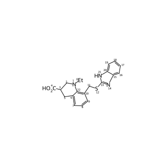 CCN1CC(C(=O)O)Cc2cccc(CSc3nc4ccccc4[nH]3)c21